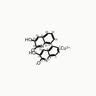 [Cu+2].[O-]c1nc2ccccc2cc1O.[O-]c1nc2ccccc2cc1O